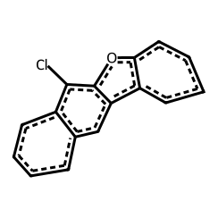 Clc1c2ccccc2cc2c1oc1ccccc12